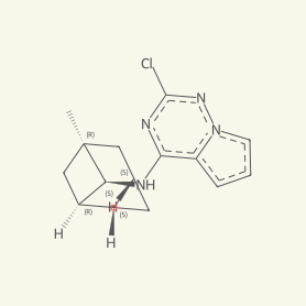 C[C@@]12C[C@@H]3C[C@@H]3[C@@H](C1)[C@@H]2Nc1nc(Cl)nn2cccc12